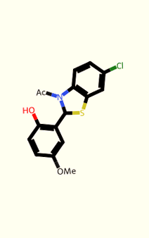 COc1ccc(O)c(C2Sc3cc(Cl)ccc3N2C(C)=O)c1